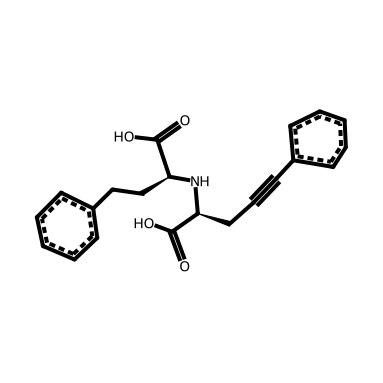 O=C(O)[C@H](CC#Cc1ccccc1)N[C@@H](CCc1ccccc1)C(=O)O